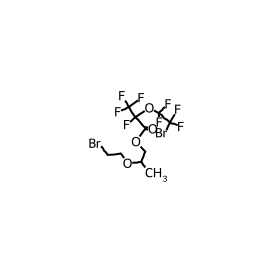 CC(COC(=O)C(F)(OC(F)(F)C(F)(F)Br)C(F)(F)F)OCCBr